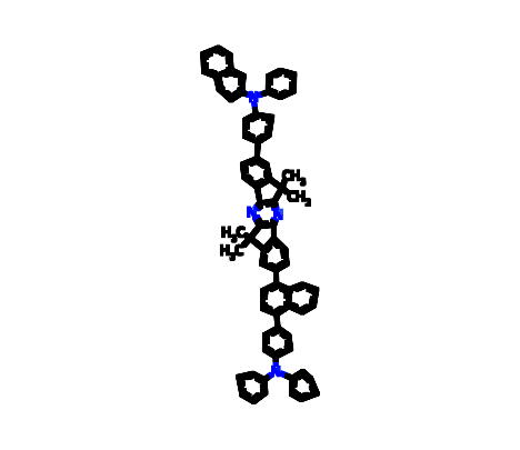 CC1(C)c2cc(-c3ccc(N(c4ccccc4)c4ccc5ccccc5c4)cc3)ccc2-c2nc3c(nc21)-c1ccc(-c2ccc(-c4ccc(N(c5ccccc5)c5ccccc5)cc4)c4ccccc24)cc1C3(C)C